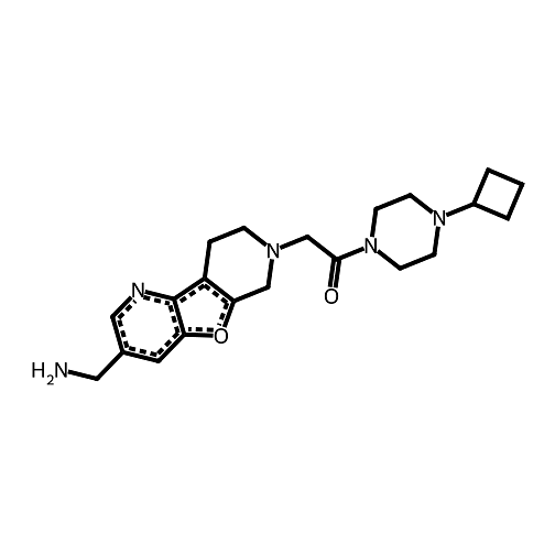 NCc1cnc2c3c(oc2c1)CN(CC(=O)N1CCN(C2CCC2)CC1)CC3